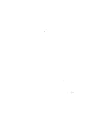 CC(C)(O)CC[Si](C)(C)O